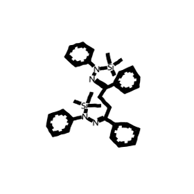 C[Si](C)(C)N(N=C(CCC(=NN(c1ccccc1)[Si](C)(C)C)c1ccccc1)c1ccccc1)c1ccccc1